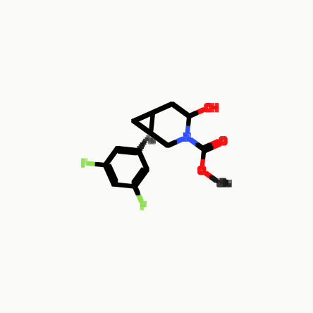 CC(C)(C)OC(=O)N1C[C@@]2(c3cc(F)cc(F)c3)CC2CC1O